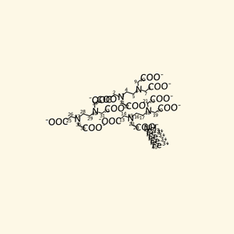 N.O=C([O-])CN(CCN(CC(=O)[O-])CC(=O)[O-])CC(=O)[O-].O=C([O-])CN(CCN(CC(=O)[O-])CC(=O)[O-])CC(=O)[O-].O=C([O-])CN(CCN(CC(=O)[O-])CC(=O)[O-])CC(=O)[O-].[Fe+3].[Fe+3].[Fe+3].[Fe+3]